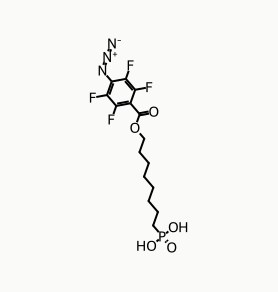 [N-]=[N+]=Nc1c(F)c(F)c(C(=O)OCCCCCCCCP(=O)(O)O)c(F)c1F